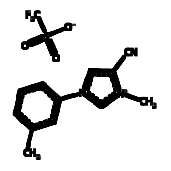 Cc1cccc(-n2cc(C#N)[n+](C)c2)c1.O=S(=O)([O-])C(F)(F)F